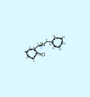 Clc1ccccc1/C=N/Cc1ccccc1